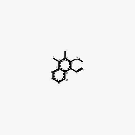 C=Cc1c(OC)c(C)c(C)c2ccccc12